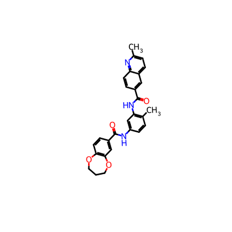 Cc1ccc2cc(C(=O)Nc3cc(NC(=O)c4ccc5c(c4)OCCCO5)ccc3C)ccc2n1